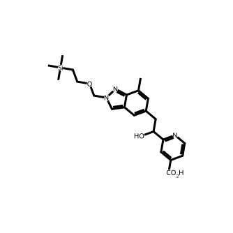 Cc1cc(CC(O)c2cc(C(=O)O)ccn2)cc2cn(COCC[Si](C)(C)C)nc12